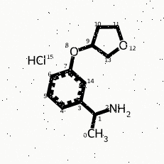 CC(N)c1cccc(OC2CCOC2)c1.Cl